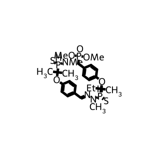 CCC(C)(Oc1ccc(CP(=O)(OC)OC)cc1)[PH](=S)N(C)/N=C/c1ccc(OC(C)(C)[PH](=S)NC)cc1